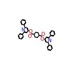 O=C(Oc1cc(-c2ccccc2)nc(-c2ccccc2)c1)C1CCC(C(=O)Oc2cc(-c3ccccc3)nc(-c3ccccc3)c2)CC1